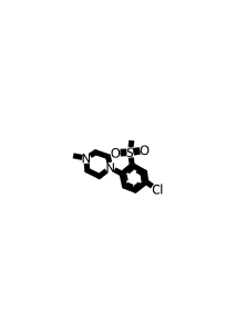 CN1CCN(c2ccc(Cl)cc2S(C)(=O)=O)CC1